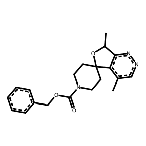 Cc1cnnc2c1C1(CCN(C(=O)OCc3ccccc3)CC1)OC2C